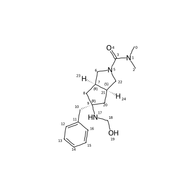 CN(C)C(=O)N1C[C@@H]2C[C@](Cc3ccccc3)(NCO)C[C@@H]2C1